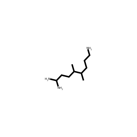 CC(CCCN)C(C)CCC(N)N